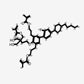 C=C(C)C(=O)OCCCc1cc(-c2ccc(C3CCC(CCCCC)CC3)cc2F)cc(CCCOC(=O)C(=C)C)c1OCCC(CO)(CO)COC(=O)C(=C)C